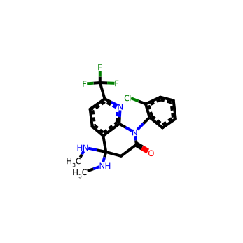 CNC1(NC)CC(=O)N(c2ccccc2Cl)c2nc(C(F)(F)F)ccc21